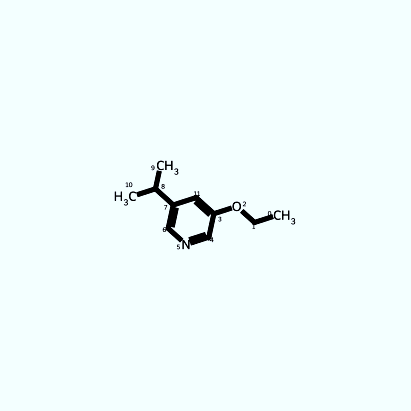 CCOc1[c]ncc(C(C)C)c1